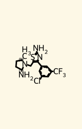 C[C@@H]1CC[C@@H](N)N1Cc1sc(N)nc1-c1cc(Cl)cc(C(F)(F)F)c1